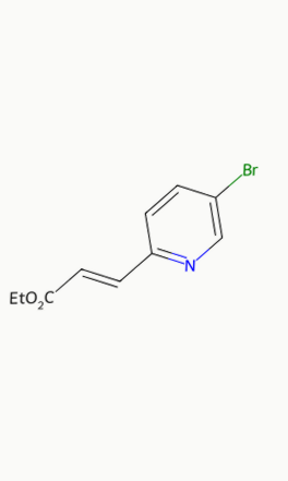 CCOC(=O)/C=C/c1ccc(Br)cn1